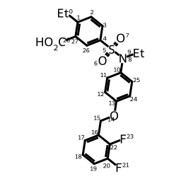 CCc1ccc(S(=O)(=O)N(CC)c2ccc(OCc3cccc(F)c3F)cc2)cc1C(=O)O